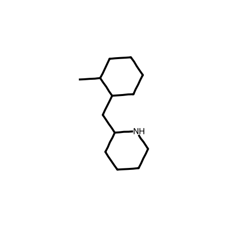 CC1CCCCC1CC1CCCCN1